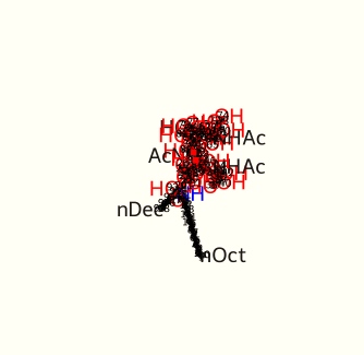 CCCCCCCC/C=C\CCCCCCCCCCCCCC(=O)N[C@@H](CO[C@@H]1OC(CO)[C@@H](O[C@@H]2OC(CO[C@@H]3OC(CO)[C@@H](O)[C@H](O)C3NC(C)=O)[C@H](O)[C@H](O[C@@H]3OC(CO)[C@@H](O[C@@H]4OC(CO[C@]5(C(=O)O)CC(O)[C@@H](NC(C)=O)C([C@H](O)[C@H](O)CO)O5)[C@H](O)[C@H](O)C4O)[C@H](O)C3NC(C)=O)C2O)[C@H](O)C1O)[C@H](O)/C=C/CCCCCCCCCCCCC